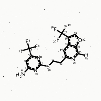 Nc1cc(C(F)(F)F)nc(SCCc2cc3c(C(F)(F)F)coc3c(Cl)n2)n1